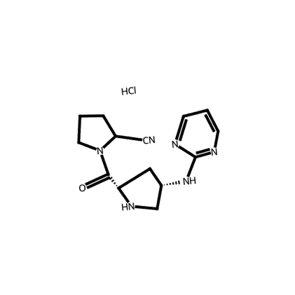 Cl.N#CC1CCCN1C(=O)[C@@H]1C[C@H](Nc2ncccn2)CN1